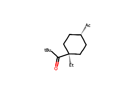 CC[C@]1(C(=O)C(C)(C)C)CC[C@H](C(C)=O)CC1